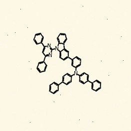 c1ccc(-c2ccc(N(c3ccc(-c4ccccc4)cc3)c3cccc(-c4ccc5c(c4)c4ccccc4n5-c4nc(-c5ccccc5)cc(-c5ccccc5)n4)c3)cc2)cc1